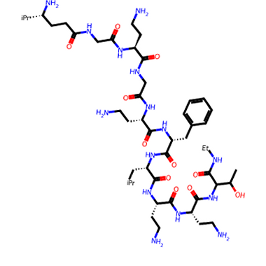 CCNC(=O)C(NC(=O)[C@H](CCN)NC(=O)[C@H](CCN)NC(=O)[C@H](CC(C)C)NC(=O)[C@@H](Cc1ccccc1)NC(=O)[C@H](CCN)NC(=O)CNC(=O)[C@H](CCN)NC(=O)CNC(=O)CC[C@@H](N)C(C)C)C(C)O